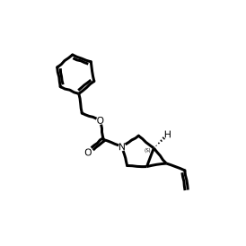 C=CC1C2CN(C(=O)OCc3ccccc3)C[C@@H]12